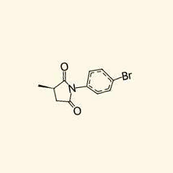 C[C@@H]1CC(=O)N(c2ccc(Br)cc2)C1=O